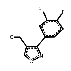 OCc1conc1-c1ccc(F)c(Br)c1